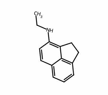 CCNc1ccc2cccc3c2c1CC3